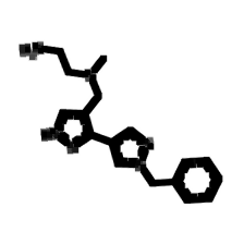 CN(CCN)Cc1c[nH]nc1-c1cnn(Cc2ccccc2)c1